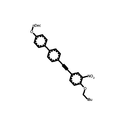 CCCCCCCCCCOc1ccc(-c2ccc(C#Cc3ccc(OCC(C)CC)c([N+](=O)[O-])c3)cc2)cc1